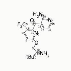 CC(C)(C)[C@H](N)COc1ccc(C(F)(F)F)c(C(=O)c2cccnc2N)n1